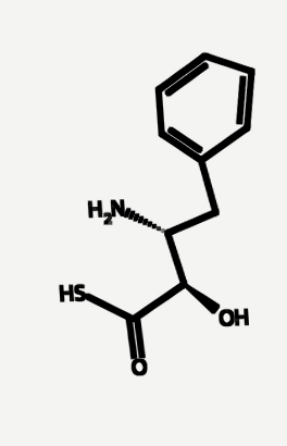 N[C@H](Cc1ccccc1)[C@@H](O)C(=O)S